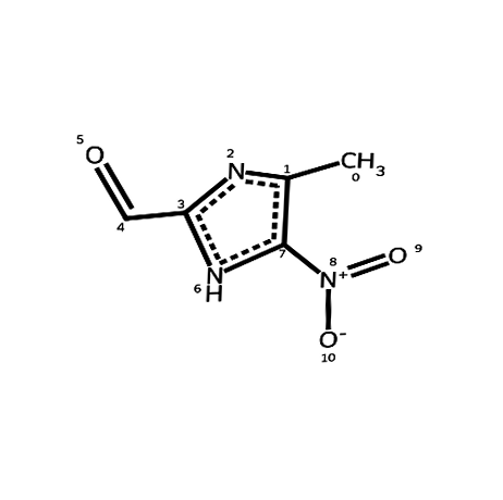 Cc1nc(C=O)[nH]c1[N+](=O)[O-]